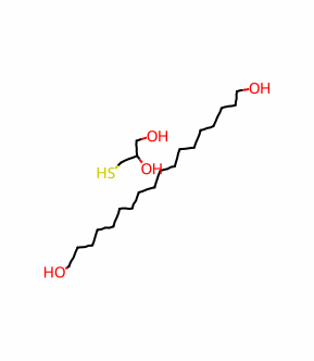 OCC(O)CS.OCCCCCCCCCCCCCCCCCCO